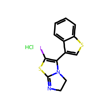 Cl.IC1=C(c2csc3ccccc23)N2CCN=C2S1